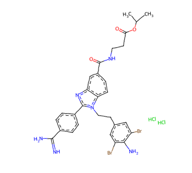 CC(C)OC(=O)CCNC(=O)c1ccc2c(c1)nc(-c1ccc(C(=N)N)cc1)n2CCc1cc(Br)c(N)c(Br)c1.Cl.Cl